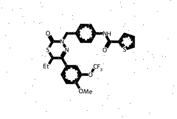 CCC1SC(=O)N(Cc2ccc(NC(=O)c3cccs3)cc2)N=C1c1ccc(OC)c(OC(F)(F)F)c1